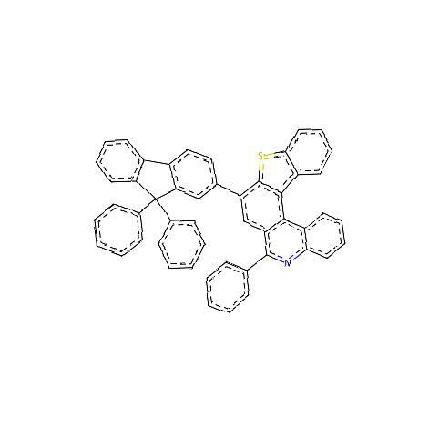 c1ccc(-c2nc3ccccc3c3c2cc(-c2ccc4c(c2)C(c2ccccc2)(c2ccccc2)c2ccccc2-4)c2sc4ccccc4c23)cc1